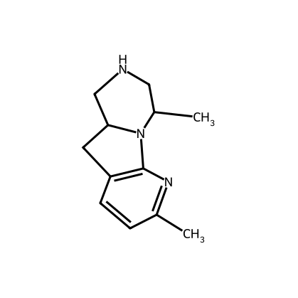 Cc1ccc2c(n1)N1C(C)CNCC1C2